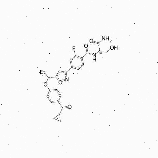 CCC(Oc1ccc(C(=O)C2CC2)cc1)c1cc(-c2ccc(C(=O)N[C@@H](CO)C(N)=O)c(F)c2)no1